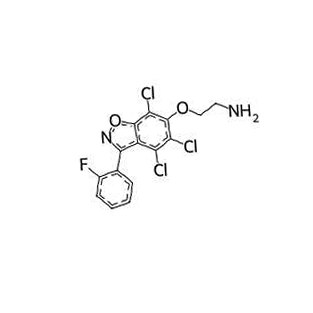 NCCOc1c(Cl)c(Cl)c2c(-c3ccccc3F)noc2c1Cl